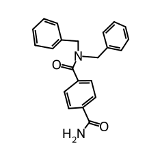 NC(=O)c1ccc(C(=O)N(Cc2ccccc2)Cc2ccccc2)cc1